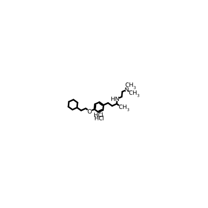 CC(CCc1ccc(OCCC2CCCCC2)cc1)NCCN(C)C.Cl.Cl